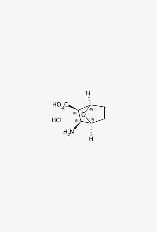 Cl.N[C@H]1[C@@H](C(=O)O)[C@H]2CC[C@@H]1O2